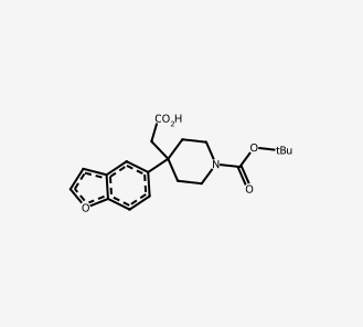 CC(C)(C)OC(=O)N1CCC(CC(=O)O)(c2ccc3occc3c2)CC1